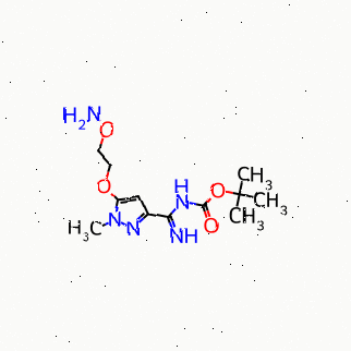 Cn1nc(C(=N)NC(=O)OC(C)(C)C)cc1OCCON